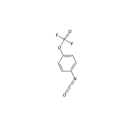 O=C=Nc1ccc(OP(=O)(F)F)cc1